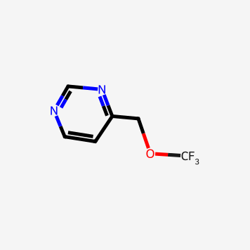 FC(F)(F)OCc1ccncn1